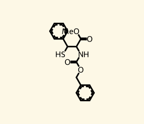 COC(=O)C(NC(=O)OCc1ccccc1)C(S)c1ccccc1